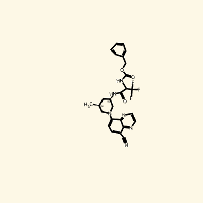 C[C@H]1C[C@@H](NC(=O)C(NC(=O)OCc2ccccc2)C(F)(F)F)CN(c2ccc(C#N)c3nccnc23)C1